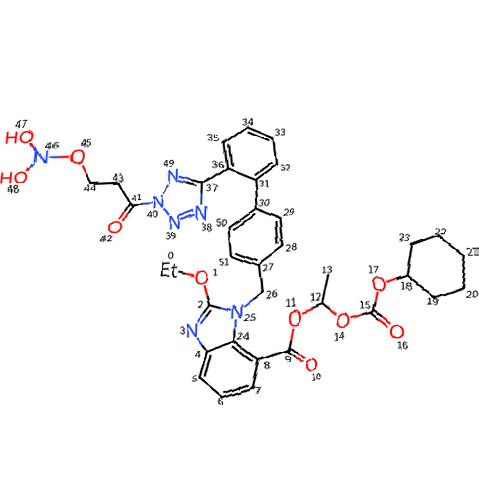 CCOc1nc2cccc(C(=O)OC(C)OC(=O)OC3CCCCC3)c2n1Cc1ccc(-c2ccccc2-c2nnn(C(=O)CCON(O)O)n2)cc1